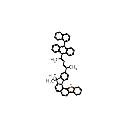 C/C(=C\C=C(/C)c1c2ccccc2c(-c2cccc3ccccc23)c2ccccc12)c1ccc2c(c1)C(C)(C)c1ccc3ccc4c5ccccc5sc4c3c1-2